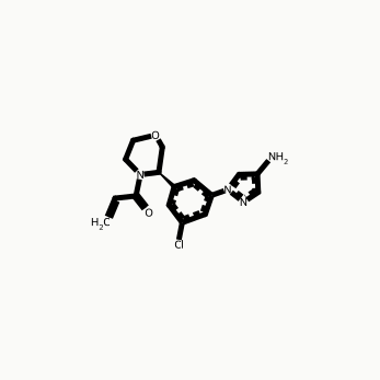 C=CC(=O)N1CCOC[C@H]1c1cc(Cl)cc(-n2cc(N)cn2)c1